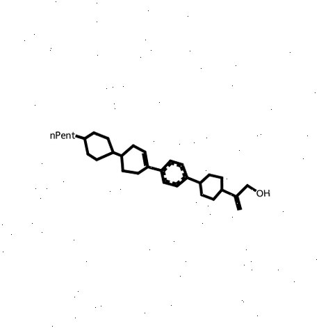 C=C(CO)C1CCC(c2ccc(C3=CCC(C4CCC(CCCCC)CC4)CC3)cc2)CC1